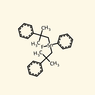 CC(C)([CH2][Sn]([F])([CH2]C(C)(C)c1ccccc1)[c]1ccccc1)c1ccccc1